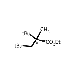 CCOC(=O)[C@@](C)(CC(C)(C)C)C(C)(C)C